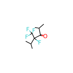 CC(C)C(=O)C(F)(C(C)C)C(F)(F)F